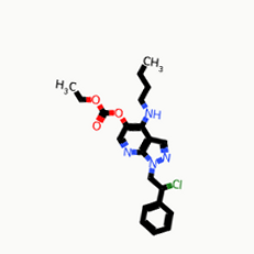 CCCCNc1c(OC(=O)OCC)cnc2c1cnn2CC(Cl)c1ccccc1